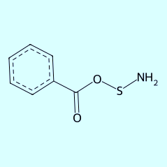 NSOC(=O)c1ccccc1